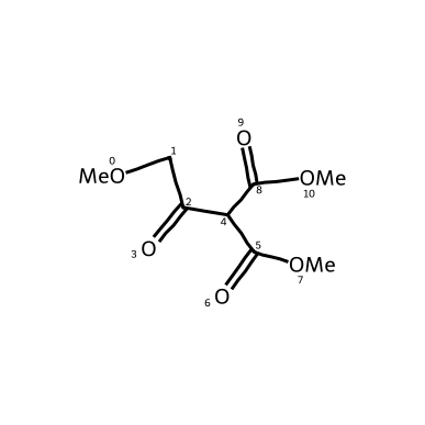 COCC(=O)C(C(=O)OC)C(=O)OC